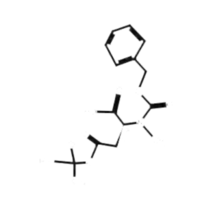 CN(C(=O)OCc1ccccc1)[C@@H](CC(=O)OC(C)(C)C)C(=O)O